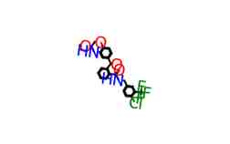 O=C1COc2ccc(C(=O)c3ccccc3C(=O)NCc3ccc(Cl)c(C(F)(F)F)c3)cc2N1